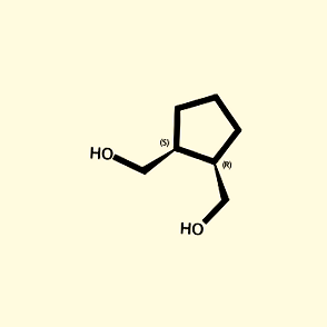 OC[C@@H]1CCC[C@@H]1CO